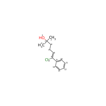 CC(C)(O)CCC=C(Cl)c1ccccc1